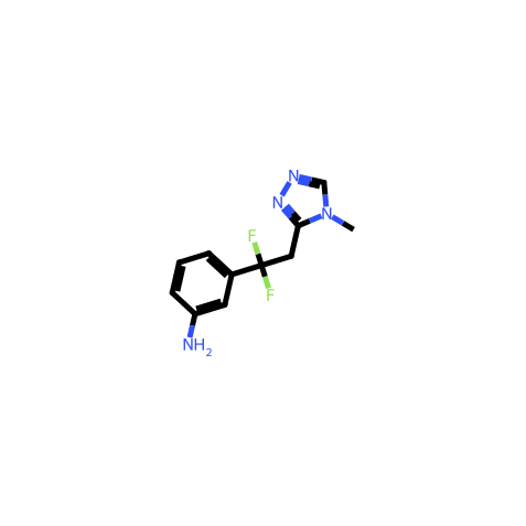 Cn1cnnc1CC(F)(F)c1cccc(N)c1